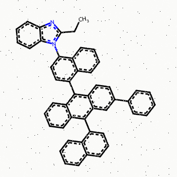 CCc1nc2ccccc2n1-c1ccc(-c2c3ccccc3c(-c3cccc4ccccc34)c3cc(-c4ccccc4)ccc23)c2ccccc12